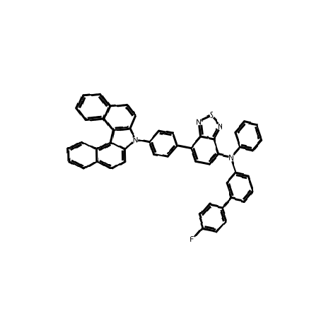 Fc1ccc(-c2cccc(N(c3ccccc3)c3ccc(-c4ccc(-n5c6ccc7ccccc7c6c6c7ccccc7ccc65)cc4)c4nsnc34)c2)cc1